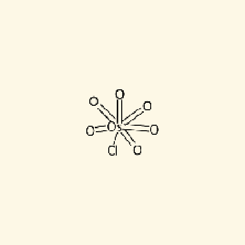 [O]=[Os](=[O])(=[O])(=[O])(=[O])(=[O])[Cl]